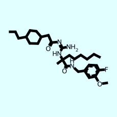 CCCCCCC(C)(NC(N)=NC(=O)CC1CCC(CCC)CC1)C(=O)NCc1ccc(F)c(OC)c1